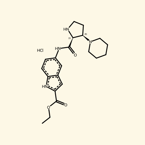 CCOC(=O)c1cc2cc(NC(=O)[C@H]3NCC[C@H]3N3CCCCC3)ccc2[nH]1.Cl